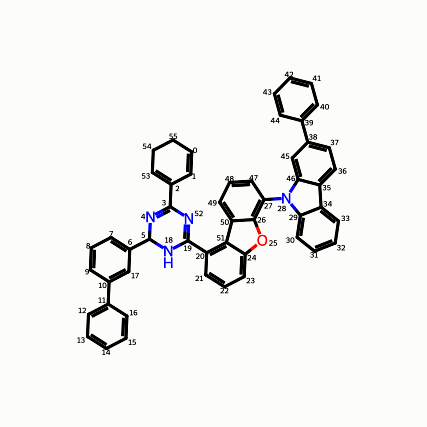 C1=CC(C2=NC(c3cccc(-c4ccccc4)c3)NC(c3cccc4oc5c(-n6c7ccccc7c7ccc(-c8ccccc8)cc76)cccc5c34)=N2)=CCC1